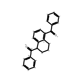 O=C(c1ccccc1)c1cccc2c1CCCC2C(=O)c1ccccc1